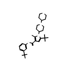 Cc1c(C(=O)Nc2cccc(C(C)(F)F)c2)cc(C(C)(C)C)n1C1CCN(C2CCNCC2)CC1